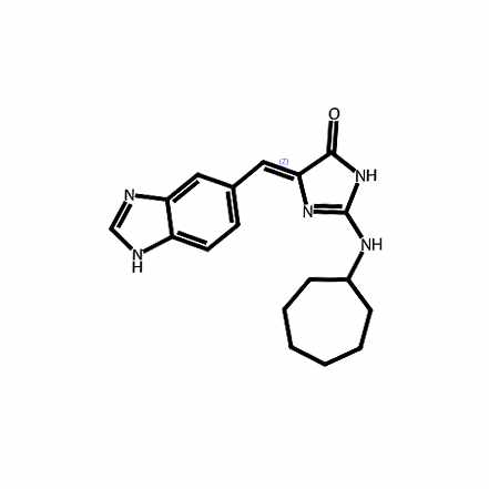 O=C1NC(NC2CCCCCC2)=N/C1=C\c1ccc2[nH]cnc2c1